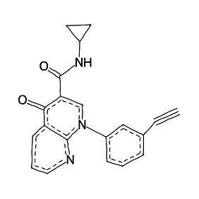 C#Cc1cccc(-n2cc(C(=O)NC3CC3)c(=O)c3cccnc32)c1